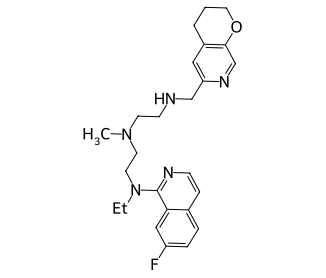 CCN(CCN(C)CCNCc1cc2c(cn1)OCCC2)c1nccc2ccc(F)cc12